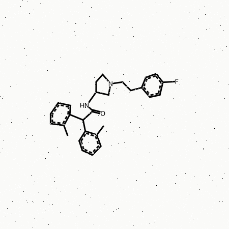 Cc1ccccc1C(C(=O)NC1CCN(CCc2ccc(F)cc2)C1)c1ccccc1C